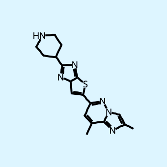 Cc1cn2nc(C3=CC4N=C(C5CCNCC5)N=C4S3)cc(C)c2n1